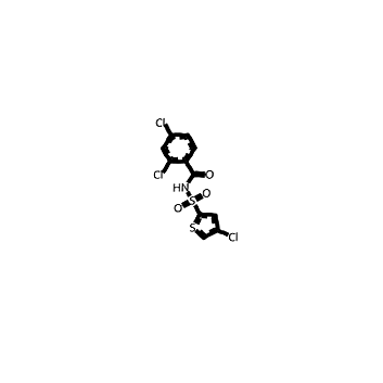 O=C(NS(=O)(=O)c1cc(Cl)cs1)c1ccc(Cl)cc1Cl